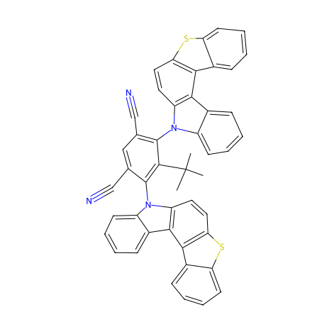 CC(C)(C)c1c(-n2c3ccccc3c3c4c(ccc32)sc2ccccc24)c(C#N)cc(C#N)c1-n1c2ccccc2c2c3c(ccc21)sc1ccccc13